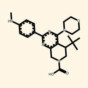 CNc1ccc(-c2nc3c(c(N4CCOCC4)n2)C(C(C)(C)C)CN(C(=O)O)C3)cc1